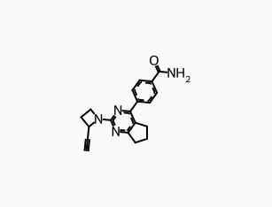 C#CC1CCN1c1nc2c(c(-c3ccc(C(N)=O)cc3)n1)CCC2